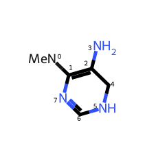 CNC1=C(N)CNC=N1